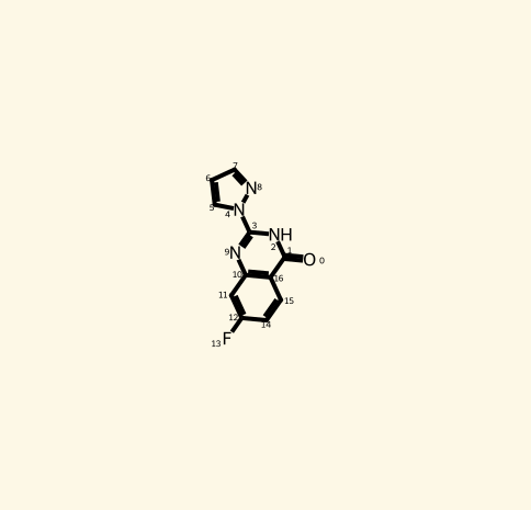 O=c1[nH]c(-n2cccn2)nc2cc(F)ccc12